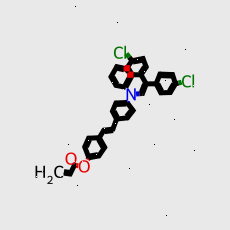 C=CC(=O)Oc1ccc(C=Cc2ccc(N(C=C(c3ccc(Cl)cc3)c3ccc(Cl)cc3)c3ccccc3)cc2)cc1